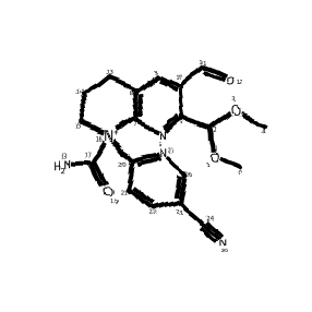 COC(OC)c1nc2c(cc1C=O)CCC[N+]2(C(N)=O)c1ccc(C#N)cn1